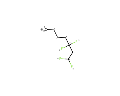 [CH2]CCCC(F)(F)CC(F)F